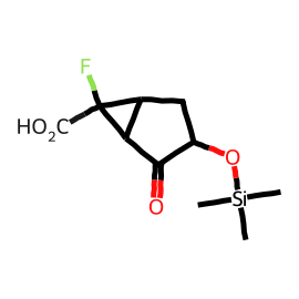 C[Si](C)(C)OC1CC2C(C1=O)C2(F)C(=O)O